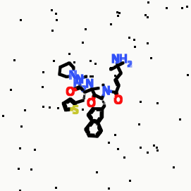 CN(C(=O)/C=C/CC(C)(C)N)[C@H](Cc1ccc2ccccc2c1)C(=O)C(C)(N)[C@H](Cc1cccs1)C(=O)N(C)N1CCCCC1